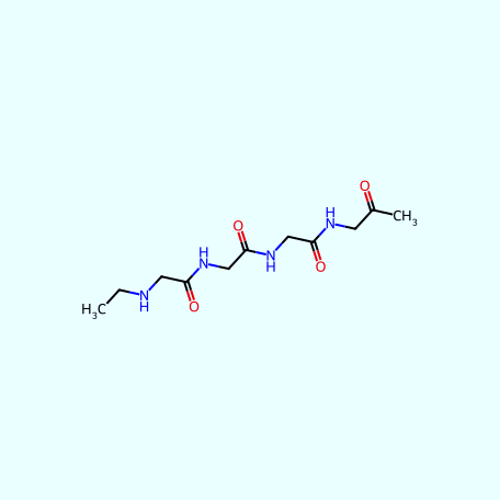 CCNCC(=O)NCC(=O)NCC(=O)NCC(C)=O